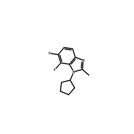 Cc1nc2ccc(F)c(F)c2n1C1CCCC1